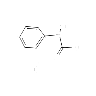 NB(C(=O)O)c1ccccc1.O.O